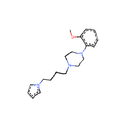 COc1ccccc1N1CCN(CCCCn2cccc2)CC1